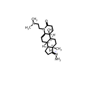 CN(C)CCN1C(=O)CC[C@@]2(C)C1=CC[C@@H]1[C@@H]2CC[C@]2(C)/C(=N/N)CC[C@@H]12